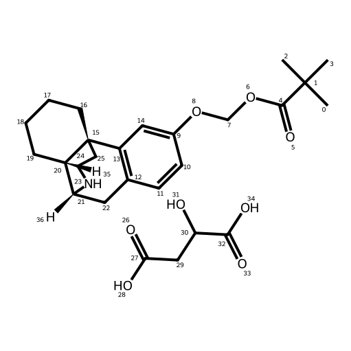 CC(C)(C)C(=O)OCOc1ccc2c(c1)[C@@]13CCCC[C@H]1[C@@H](C2)NCC3.O=C(O)CC(O)C(=O)O